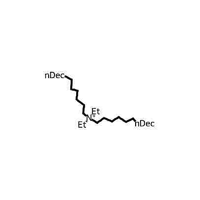 CCCCCCCCCCCCCCCC[N+](CC)(CC)CCCCCCCCCCCCCCCC